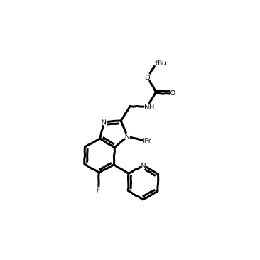 CC(C)n1c(CNC(=O)OC(C)(C)C)nc2ccc(F)c(-c3ccccn3)c21